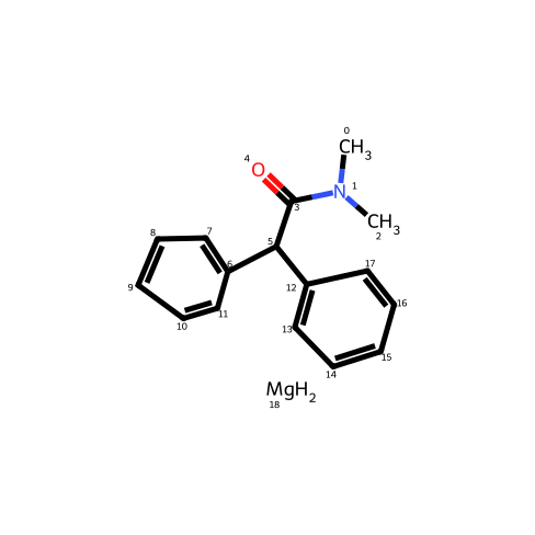 CN(C)C(=O)C(c1ccccc1)c1ccccc1.[MgH2]